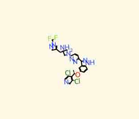 C[C@@H](Oc1ccc2[nH]nc(-c3ccc(N4CC(N)(Cc5cnn(C(F)F)c5)C4)nn3)c2c1)c1c(Cl)cncc1Cl